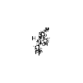 Cc1ccc(NC(=O)c2cccc(C(F)(F)F)c2)cc1-c1cc(C#N)cnc1N